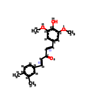 COc1cc(/C=C/C(=O)/C=C/c2ccc(C)c(C)c2)cc(OC)c1O